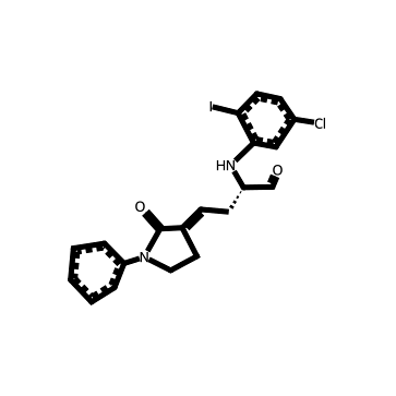 O=C[C@H](C/C=C1\CCN(c2ccccc2)C1=O)Nc1cc(Cl)ccc1I